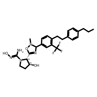 CCCc1ccc(CCc2ccc(C3N=C([C@@H]4[C@@H](O)CCN4/C(N)=N/O)ON3C)cc2C(F)(F)F)cc1